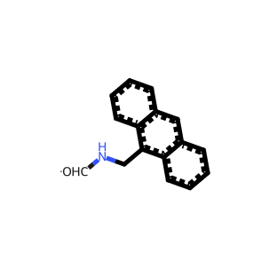 O=[C]NCc1c2ccccc2cc2ccccc12